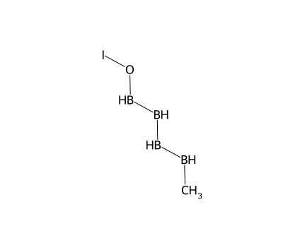 CBBBBOI